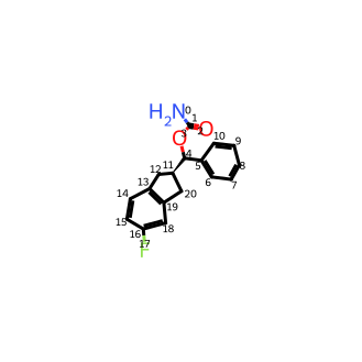 NC(=O)OC(c1ccccc1)[C@@H]1Cc2ccc(F)cc2C1